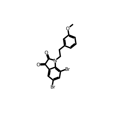 COc1cccc(CCN2C(=O)C(=O)c3cc(Br)cc(Br)c32)c1